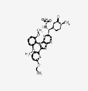 CCOc1cccc(-c2nc3ncc([C@H](N[SH](=O)=O)[C@@H]4CCN(C)C(=O)C4)nc3n2-c2c(OC)cccc2OC)n1